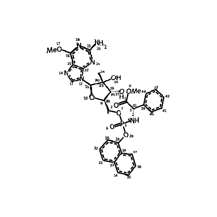 COC(=O)[C@@H](NP(=O)(OC[C@H]1OC(n2cnc3c(OC)nc(N)nc32)[C@](C)(O)[C@@H]1O)Oc1cccc2ccccc12)c1ccccc1